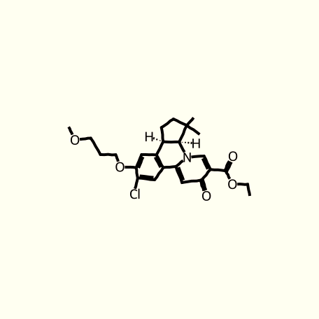 CCOC(=O)c1cn2c(cc1=O)-c1cc(Cl)c(OCCCOC)cc1[C@H]1CCC(C)(C)[C@H]12